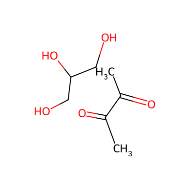 CC(=O)C(C)=O.OCC(O)CO